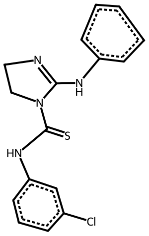 S=C(Nc1cccc(Cl)c1)N1CCN=C1Nc1ccccc1